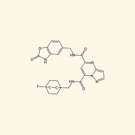 O=C(NCc1ccc2oc(=O)[nH]c2c1)c1cc(C(=O)NCC23CCC(F)(CC2)CC3)n2nccc2n1